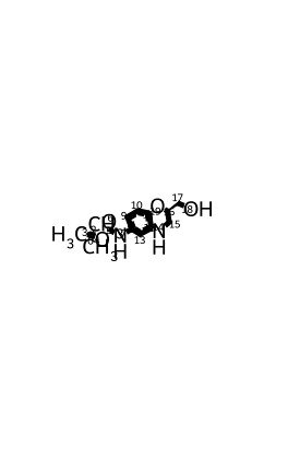 CC(C)(C)OC(=O)Nc1ccc2c(c1)NC[C@H](CO)O2